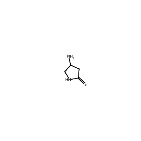 NC1CNC(=S)C1